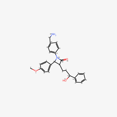 COc1ccc(C2C(CCC(O)c3ccccc3)C(=O)N2c2ccc(CN)cc2)cc1